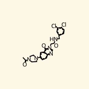 CC(=O)N1CCN(c2ccc3ncn(CC(=O)NCc4ccc(Cl)c(Cl)c4)c(=O)c3c2)CC1